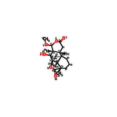 CO[C@H]1OC(=O)C[C@H]2[C@@H]1[C@H](O)[C@H]1OC(=O)[C@@]3(C)CCC[C@@]2(C)[C@@H]13